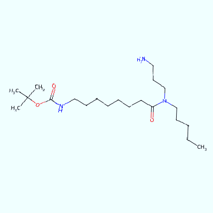 CCCCCN(CCCN)C(=O)CCCCCCCNC(=O)OC(C)(C)C